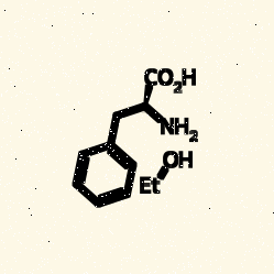 CCO.N[C@@H](Cc1ccccc1)C(=O)O